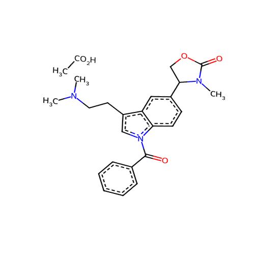 CC(=O)O.CN(C)CCc1cn(C(=O)c2ccccc2)c2ccc(C3COC(=O)N3C)cc12